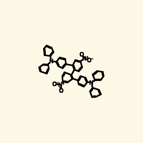 O=[N+]([O-])c1ccc(-c2ccc([N+](=O)[O-])cc2-c2ccc(N(c3ccccc3)c3ccccc3)cc2)c(-c2ccc(N(c3ccccc3)c3ccccc3)cc2)c1